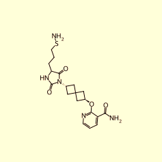 NSCCCC1NC(=O)N([C@H]2CC3(C[C@H](Oc4ncccc4C(N)=O)C3)C2)C1=O